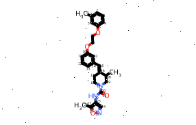 Cc1cccc(OCCOc2cccc(/C=C3\CCN(C(=O)Nc4cnoc4C)CC3C)c2)c1